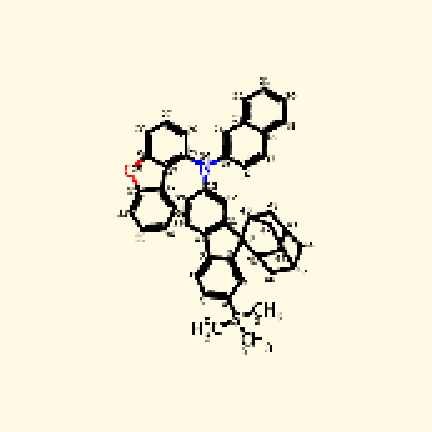 C[Si](C)(C)c1ccc2c(c1)C1(c3cc(N(c4ccc5ccccc5c4)c4cccc5oc6ccccc6c45)ccc3-2)C2CC3CC(C2)CC1C3